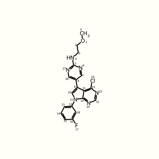 COCCNc1ncc(-c2cn(-c3cccc(F)c3)c3ncnc(Cl)c23)cn1